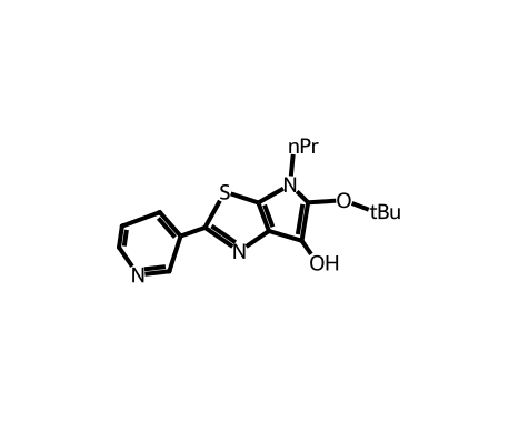 CCCn1c(OC(C)(C)C)c(O)c2nc(-c3cccnc3)sc21